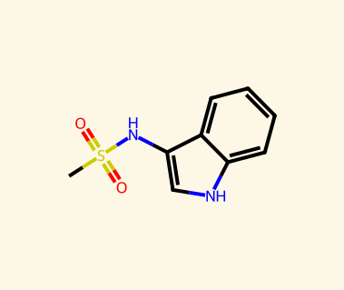 CS(=O)(=O)Nc1c[nH]c2ccccc12